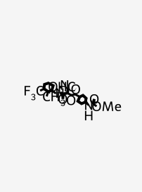 COC(=O)Nc1ccc(C(OC=O)C(=O)c2cncn(Cc3cccc(C(F)(F)F)c3C)c2=O)cc1